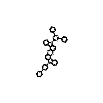 c1ccc(-c2ccc(-n3c4ccccc4c4c5c(ccc43)Sc3c(ccc4c3c3ccccc3n4-c3nc(-c4ccccc4)nc(-c4ccccc4)n3)S5)cc2)cc1